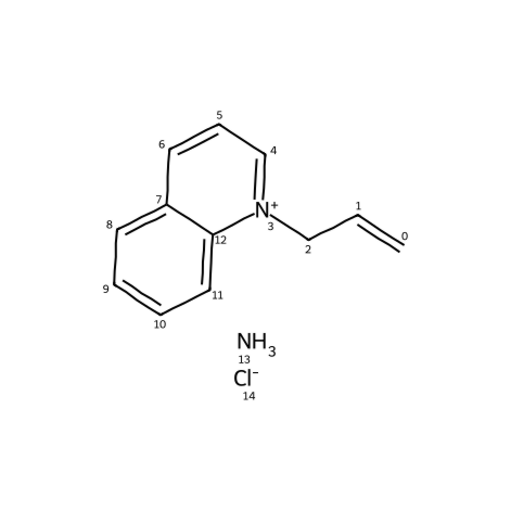 C=CC[n+]1cccc2ccccc21.N.[Cl-]